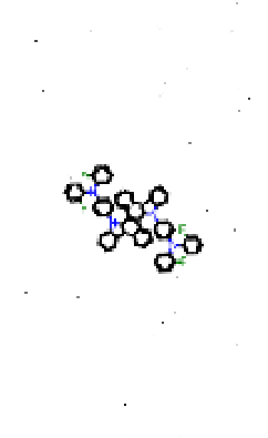 Fc1ccccc1N(c1ccc(-n2c3ccccc3c3c4ccccc4c4c(c5ccccc5c5c6ccccc6n(-c6ccc(N(c7ccccc7F)c7ccccc7F)cc6)c54)c32)cc1)c1ccccc1F